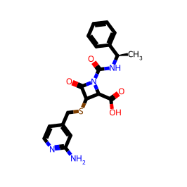 C[C@@H](NC(=O)N1C(=O)C(SCc2ccnc(N)c2)C1C(=O)O)c1ccccc1